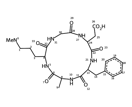 CNCCCC1NC(=O)C(C)NC(=O)C(Cc2ccccc2)NC(=O)C(CC(=O)O)NC(=O)CNC1=O